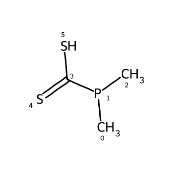 CP(C)C(=S)S